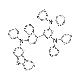 c1ccc(N(c2ccccc2)c2cc(-c3ccc(N(c4ccccc4)c4ccc5sc6ccccc6c5c4)c4ccccc34)cc(N(c3ccccc3)c3ccccc3)c2)cc1